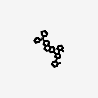 Cc1ccccc1-c1ccc(-c2ccccc2C)c(-c2ccc3c(ccc4cc(N(c5ccccc5)c5ccccc5)ccc43)c2)c1